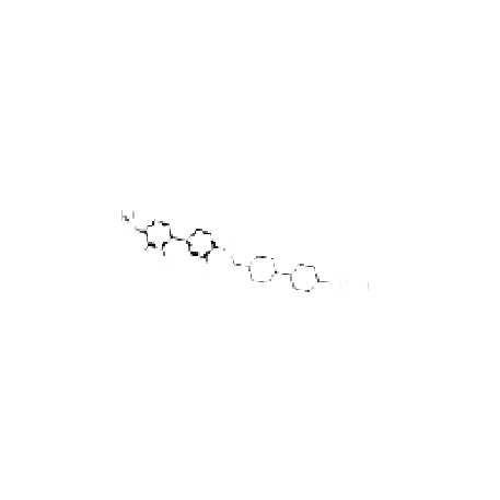 CCCCCC1CCC(C2CCC(COc3ccc(-c4ccc(OCC)c(F)c4F)cc3F)CC2)CC1